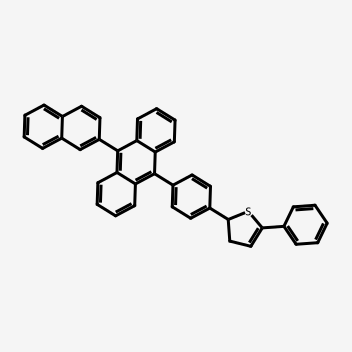 C1=C(c2ccccc2)SC(c2ccc(-c3c4ccccc4c(-c4ccc5ccccc5c4)c4ccccc34)cc2)C1